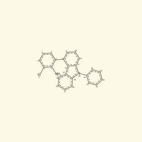 Nc1c(Cl)cccc1-c1cccc2c1c1ccccc1n2-c1ccccc1